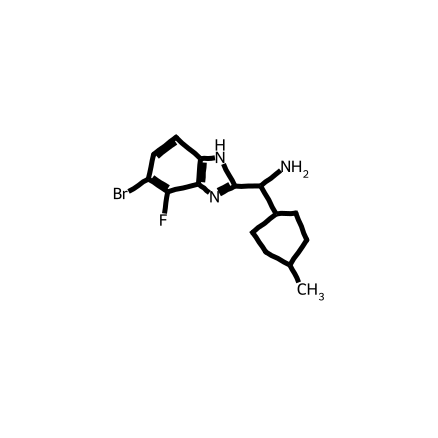 CC1CCC(C(N)c2nc3c(F)c(Br)ccc3[nH]2)CC1